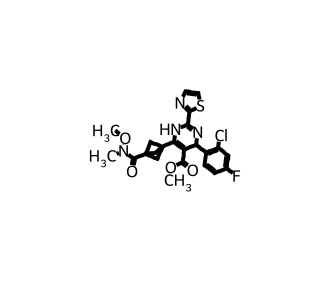 COC(=O)C1=C(C23CC(C(=O)N(C)OC)(C2)C3)NC(c2nccs2)=NC1c1ccc(F)cc1Cl